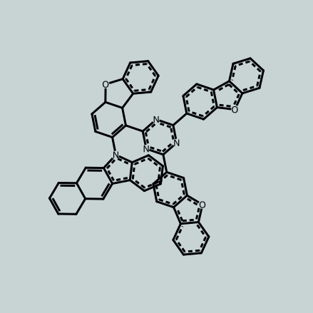 C1=CCC2C=c3c(n(C4=C(c5nc(-c6ccc7c(c6)oc6ccccc67)nc(-c6ccc7c(c6)oc6ccccc67)n5)C5c6ccccc6OC5C=C4)c4ccccc34)=CC2=C1